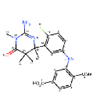 COc1ccc(C(=O)O)cc1Nc1ccc(F)c(C2(C)N=C(N)N(C)C(=O)C2(C)C)c1